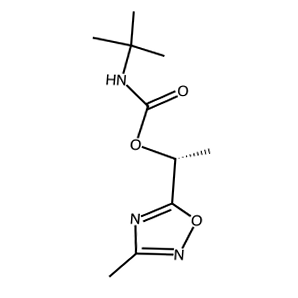 Cc1noc([C@@H](C)OC(=O)NC(C)(C)C)n1